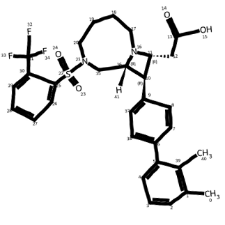 Cc1cccc(-c2ccc([C@@H]3[C@@H](CC(=O)O)N4CCCCN(S(=O)(=O)c5ccccc5C(F)(F)F)C[C@@H]34)cc2)c1C